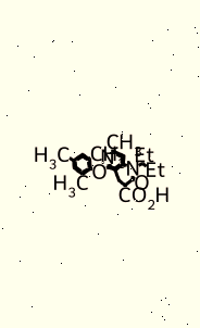 CCC(CC)N1C(=O)C(C(=O)O)Cc2c1cc(C)nc2Oc1c(C)cc(C)cc1C